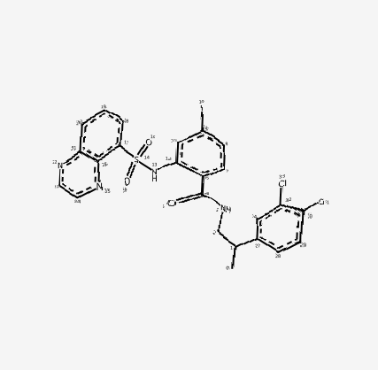 CC(CNC(=O)c1ccc(I)cc1NS(=O)(=O)c1cccc2nccnc12)c1ccc(Cl)c(Cl)c1